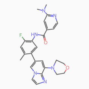 Cc1cc(F)c(NC(=O)c2ccnc(N(C)C)c2)cc1-c1cc(N2CCOCC2)c2nccn2c1